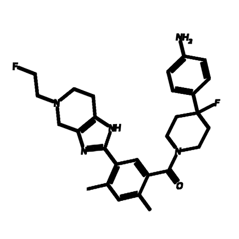 Cc1cc(C)c(-c2nc3c([nH]2)CCN(CCF)C3)cc1C(=O)N1CCC(F)(c2ccc(N)cc2)CC1